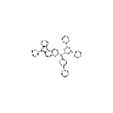 c1ccc(-c2ccc(N(c3cc(-c4ccccc4)cc(-c4ccccc4)c3)c3ccc4c(ccc5c4c4ccccc4n5-c4ccccc4)c3)cc2)cc1